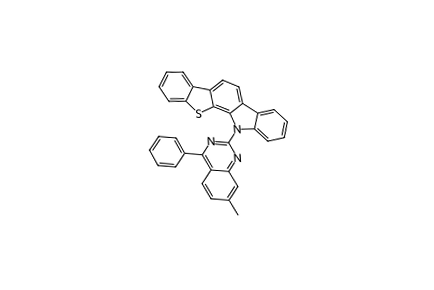 Cc1ccc2c(-c3ccccc3)nc(-n3c4ccccc4c4ccc5c6ccccc6sc5c43)nc2c1